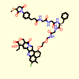 CC[C@@]1(O)C(=O)OCc2c1cc1n(c2=O)Cc2c-1nc1cc(F)c(C)c3c1c2[C@@H](OCCOCNC(=O)CNC(=O)[C@H](Cc1ccccc1)NC(=O)CNC(=O)CNC(=O)CCc1ccc(N2C(=O)CC(SC)C2=O)cc1)CC3